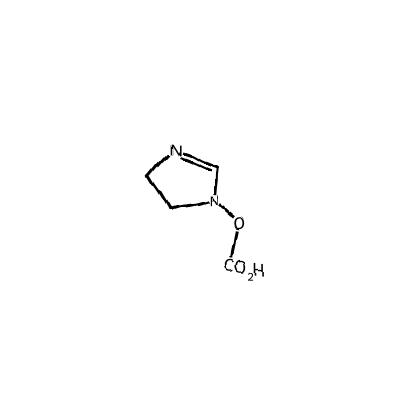 O=C(O)ON1C=NCC1